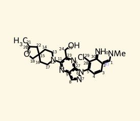 CN/C=C1/C=CC(n2ncc3nc(N4CCC5(CC4)CO[C@@H](C)C5)c(CO)nc32)=C(Cl)C1=N